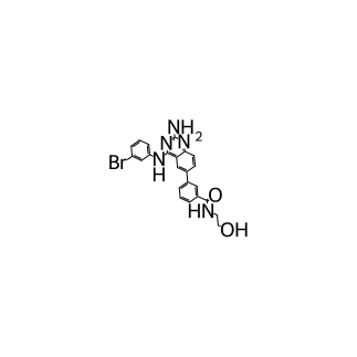 Nc1nc(Nc2cccc(Br)c2)c2cc(-c3cccc(C(=O)NCCO)c3)ccc2n1